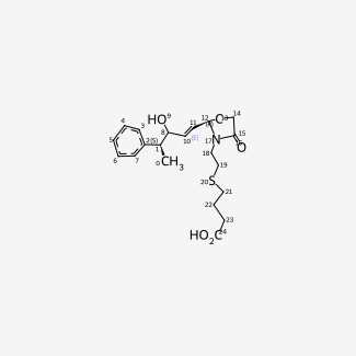 C[C@@H](c1ccccc1)C(O)/C=C/[C@H]1CCC(=O)N1CCSCCCC(=O)O